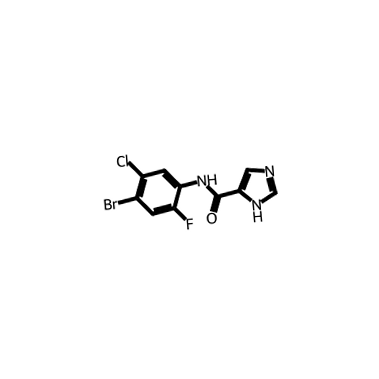 O=C(Nc1cc(Cl)c(Br)cc1F)c1cnc[nH]1